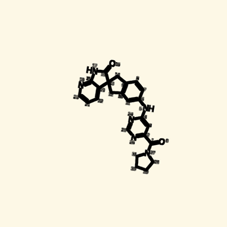 O=C(c1cc(Nc2ccc3c(c2)CC2(C3)C(=O)Nc3ncccc32)ncn1)N1CCCC1